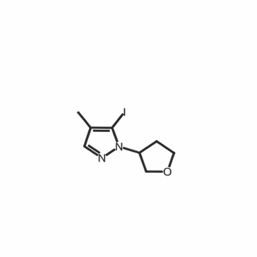 Cc1cnn(C2CCOC2)c1I